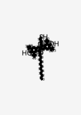 CCCCCCCCCCCCOC(=O)C(Cc1cc(C(C)(C)C)c(O)c(C(C)(C)C)c1)(Cc1cc(C(C)(C)C)c(O)c(C(C)(C)C)c1)C(=O)OCCS